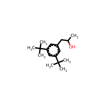 CC(O)Cc1cc(C(C)(C)C)cc(C(C)(C)C)c1